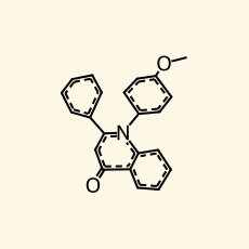 COc1ccc(-n2c(-c3ccccc3)cc(=O)c3ccccc32)cc1